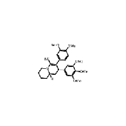 COc1ccc(C2=C(C#N)N3CCCC[C@H]3C[C@H]2c2cc(OC)c(OC)c(OC)c2)cc1OC